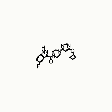 O=C(c1n[nH]c2ccc(F)cc12)N1CCN(c2cc(OC3CCC3)ncn2)CC1